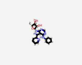 C[C@H]1O[C@@H](n2nc(-c3ccccn3)c3c(Nc4ccccc4)ncnc32)[C@H](O)[C@@H]1O